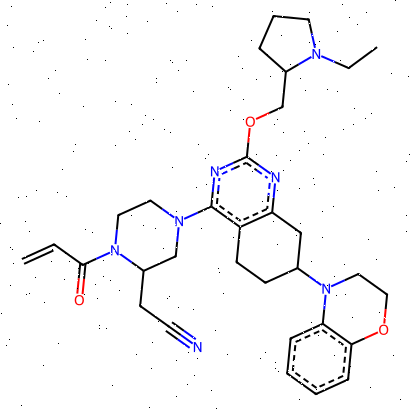 C=CC(=O)N1CCN(c2nc(OCC3CCCN3CC)nc3c2CCC(N2CCOc4ccccc42)C3)CC1CC#N